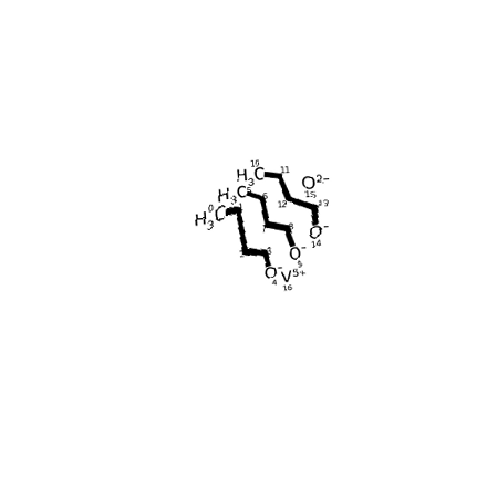 CCCC[O-].CCCC[O-].CCCC[O-].[O-2].[V+5]